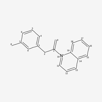 C=C(Cc1cccc(C)c1)[n+]1cccc2ccccc21